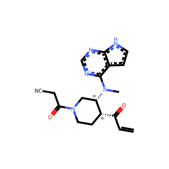 C=CC(=O)[C@@H]1CCN(C(=O)CC#N)C[C@@H]1N(C)c1ncnc2[nH]ccc12